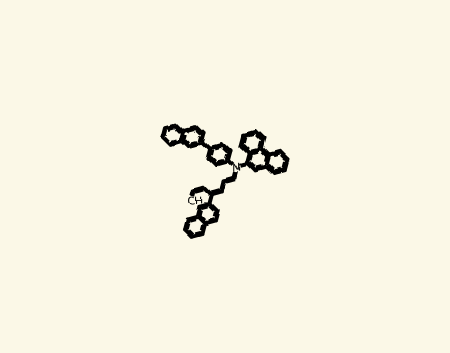 C\C=C/C(=C\C=C\N(c1ccc(-c2ccc3ccccc3c2)cc1)c1cc2ccccc2c2ccccc12)c1ccc2ccccc2c1